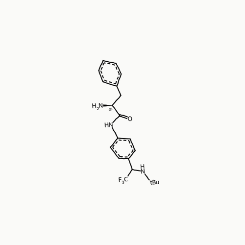 CC(C)(C)NC(c1ccc(NC(=O)[C@@H](N)Cc2ccccc2)cc1)C(F)(F)F